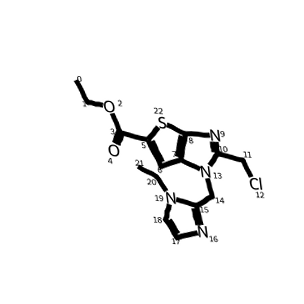 CCOC(=O)c1cc2c(nc(CCl)n2Cc2nccn2CC)s1